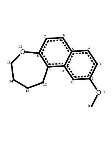 COc1ccc2ccc3c(c2c1)CCCCO3